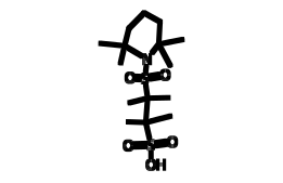 CC1(C)CCCC(C)(C)N1S(=O)(=O)C(C)(C)C(C)(C)S(=O)(=O)O